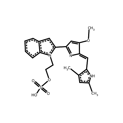 COC1=CC(c2cc3ccccc3n2CCOS(=O)(=O)O)=N/C1=C\c1[nH]c(C)cc1C